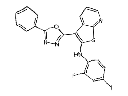 Fc1cc(I)ccc1Nc1sc2ncccc2c1-c1nnc(-c2ccccc2)o1